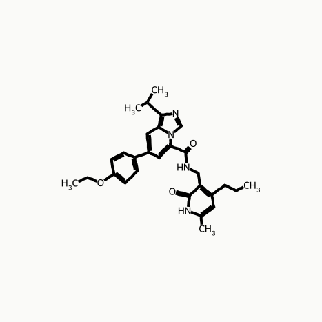 CCCc1cc(C)[nH]c(=O)c1CNC(=O)c1cc(-c2ccc(OCC)cc2)cc2c(C(C)C)ncn12